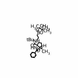 C[C@@H]1[C@@H]2C[C@@H](CCCB3OC(C)(C)C(C)(C)O3)[C@](NC(=O)c3ccccc3)(C(=O)NC(C)(C)C)[C@H]12